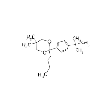 CCCCC1(c2ccc(C(C)(C)C)cc2)OCC(C)(C)CO1